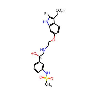 CCc1[nH]c2cc(OCCNC[C@H](O)c3cccc(NS(C)(=O)=O)c3)ccc2c1CC(=O)O